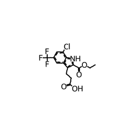 CCOC(=O)c1[nH]c2c(Cl)cc(C(F)(F)F)cc2c1CCC(=O)O